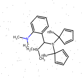 CCCC[C]1([Ti]([CH](c2ccccc2N(C)C)[SiH](C)C)[C]2(CCCC)C=CC=C2)C=CC=C1